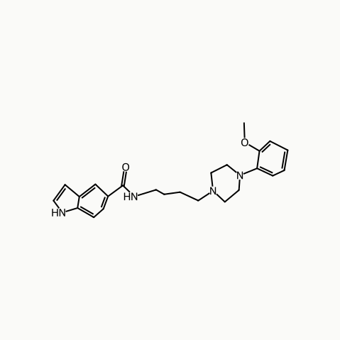 COc1ccccc1N1CCN(CCCCNC(=O)c2ccc3[nH]ccc3c2)CC1